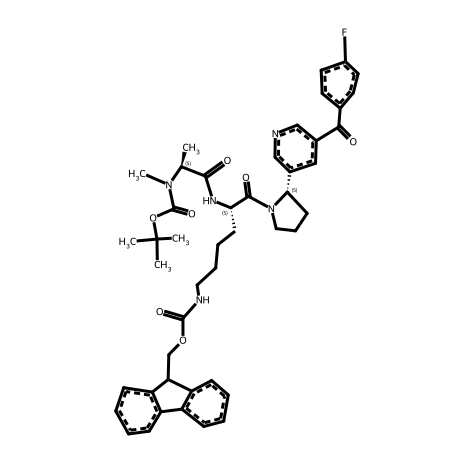 C[C@@H](C(=O)N[C@@H](CCCCNC(=O)OCC1c2ccccc2-c2ccccc21)C(=O)N1CCC[C@H]1c1cncc(C(=O)c2ccc(F)cc2)c1)N(C)C(=O)OC(C)(C)C